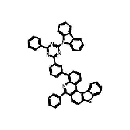 c1ccc(-c2nc(-c3cccc(-c4cccc5c4nc(-c4ccccc4)c4ccc6sc7ccccc7c6c45)c3)nc(-n3c4ccccc4c4ccccc43)n2)cc1